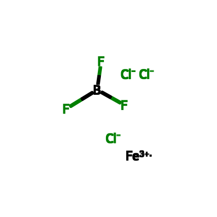 FB(F)F.[Cl-].[Cl-].[Cl-].[Fe+3]